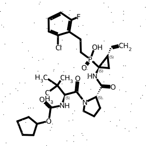 C=C[C@@H]1C[C@]1(NC(=O)[C@@H]1CCCN1C(=O)[C@@H](NC(=O)OC1CCCC1)C(C)(C)C)P(=O)(O)CCc1c(F)cccc1Cl